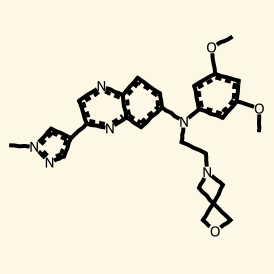 COc1cc(OC)cc(N(CCN2CC3(COC3)C2)c2ccc3ncc(-c4cnn(C)c4)nc3c2)c1